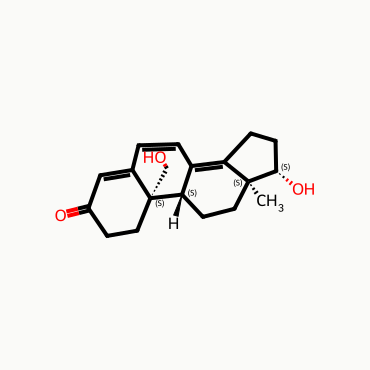 C[C@]12CC[C@H]3C(=C1CC[C@@H]2O)C=CC1=CC(=O)CC[C@@]13CO